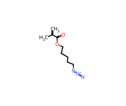 C=C(C)C(=O)OCCCCCN=[N+]=[N-]